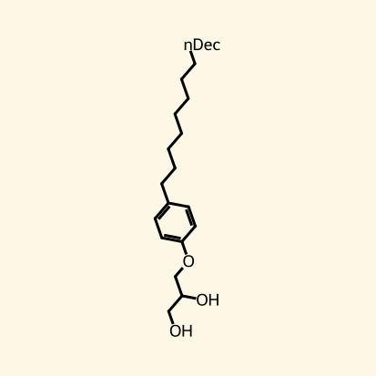 CCCCCCCCCCCCCCCCCCc1ccc(OCC(O)CO)cc1